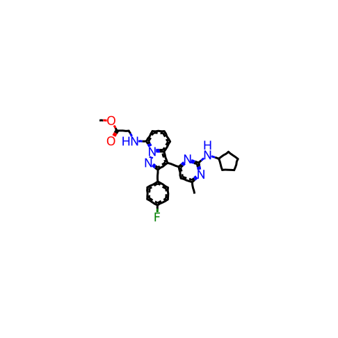 COC(=O)CNc1cccc2c(-c3cc(C)nc(NC4CCCC4)n3)c(-c3ccc(F)cc3)nn12